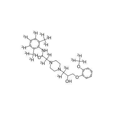 [2H]c1c([2H])c(C([2H])([2H])[2H])c(NC(=O)C([2H])([2H])N2CCN(C([2H])([2H])C(O)COc3ccccc3OC([2H])([2H])[2H])CC2)c(C([2H])([2H])[2H])c1[2H]